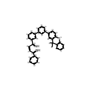 CC1(C)c2ccccc2Sc2ccc(-c3cccc(-c4cccc(C(=N)/C=C\C(=N)c5ccccc5)c4)c3)cc21